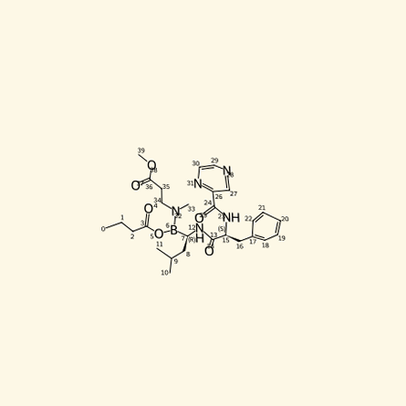 CCCC(=O)OB([C@H](CC(C)C)NC(=O)[C@H](Cc1ccccc1)NC(=O)c1cnccn1)N(C)CCC(=O)OC